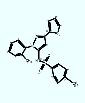 Cc1ccccc1-n1nc(-c2cccs2)cc1NS(=O)(=O)c1ccc(C(F)(F)F)cc1